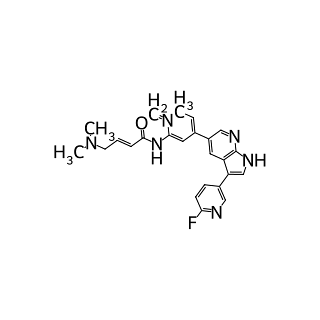 C=N/C(=C\C(=C/C)c1cnc2[nH]cc(-c3ccc(F)nc3)c2c1)NC(=O)/C=C/CN(C)C